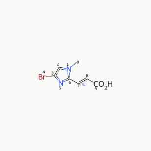 Cn1cc(Br)nc1/C=C/C(=O)O